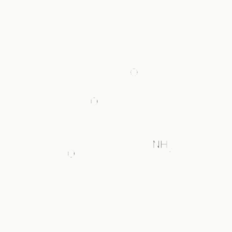 COCC(OC(C)=O)C(C)N